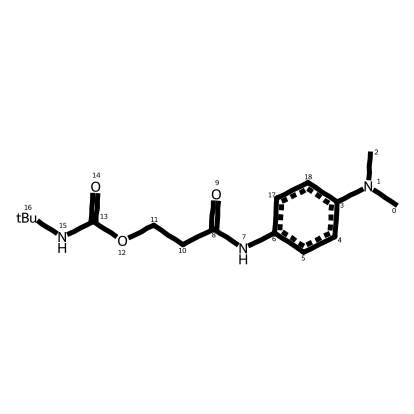 CN(C)c1ccc(NC(=O)CCOC(=O)NC(C)(C)C)cc1